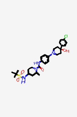 CC1CC(NS(=O)(=O)C(C)(C)C)CCN1C(=O)Nc1ccc(N2CCC(O)(c3ccc(Cl)cc3)CC2)cc1